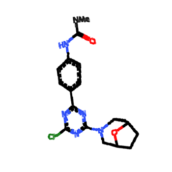 CNC(=O)Nc1ccc(-c2nc(Cl)nc(N3CC4CCC(C3)O4)n2)cc1